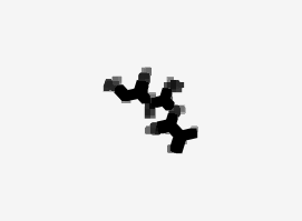 C=C(C)C(=O)OC(CCC)NC(=O)CC(C)=O